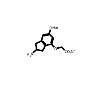 CCOC(=O)COc1cc(OC)cc2c1CC(N)C2